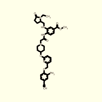 C#Cc1ccc(OCc2cccc(OC3CCN(CC(=O)Nc4ccc(C(=O)OC)cc4NCC4CCC(=O)N4CC)CC3)n2)c(P)c1